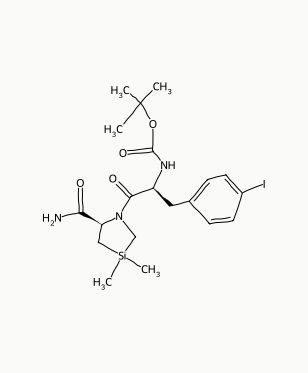 CC(C)(C)OC(=O)N[C@@H](Cc1ccc(I)cc1)C(=O)N1C[Si](C)(C)C[C@H]1C(N)=O